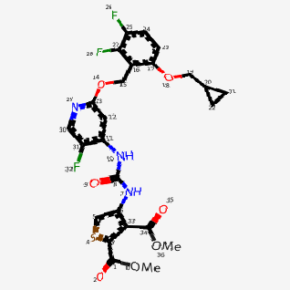 COC(=O)c1scc(NC(=O)Nc2cc(OCc3c(OCC4CC4)ccc(F)c3F)ncc2F)c1C(=O)OC